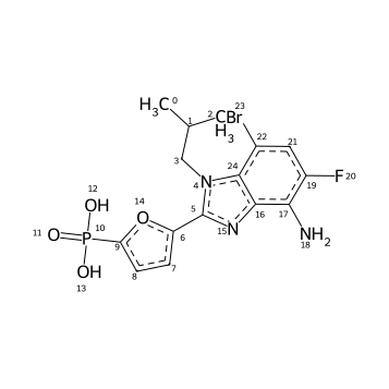 CC(C)Cn1c(-c2ccc(P(=O)(O)O)o2)nc2c(N)c(F)cc(Br)c21